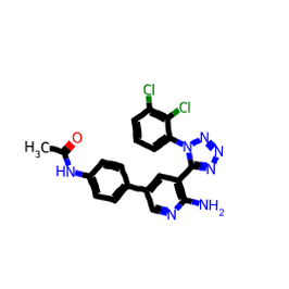 CC(=O)Nc1ccc(-c2cnc(N)c(-c3nnnn3-c3cccc(Cl)c3Cl)c2)cc1